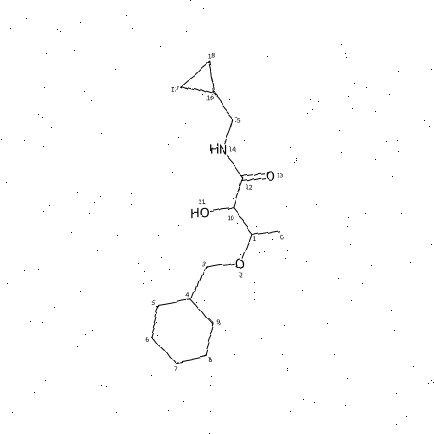 CC(OCC1CCCCC1)C(O)C(=O)NCC1CC1